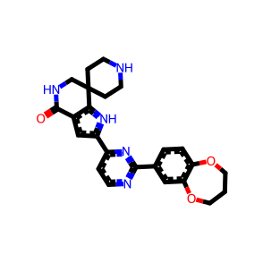 O=C1NCC2(CCNCC2)c2[nH]c(-c3ccnc(-c4ccc5c(c4)OCCCO5)n3)cc21